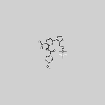 COc1ccc(C(=O)Nc2cc(-c3ccsc3CO[Si](C)(C)C(C)(C)C)ccc2[N+](=O)[O-])cc1